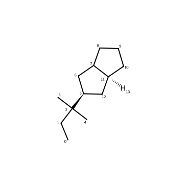 CCC(C)(C)[C@H]1CC2CCC[C@H]2C1